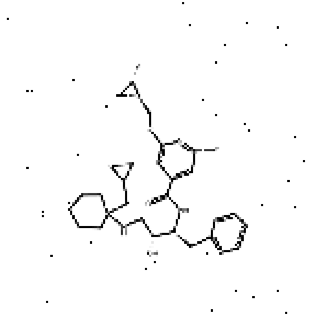 O=C(N[C@@H](Cc1ccccc1)[C@H](O)CNC1(CC2CC2)CCCCC1)c1cc(F)nc(OC[C@H]2C[C@@H]2Cl)c1